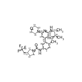 Cc1ccc(NC(=O)N2CC[C@@H](CC(F)(F)F)C2)cc1-c1cc(N[C@H](C)[C@@H](C)O)nc(N2CCOCC2)c1